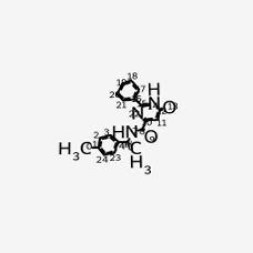 Cc1ccc([C@@H](C)NC(=O)c2cc(=O)[nH]c(-c3ccccc3)n2)cc1